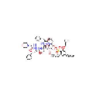 C#CCOc1cc(OC)cc(OC)c1S(=O)(=O)OCC(C)(O)C(=O)[C@H](CC(C)C)NC(=O)[C@H](Cc1ccccc1)NC(=O)[C@H](CC(C)C)NC(=O)[C@H](CCc1ccccc1)NC(=O)CN1CCOCC1